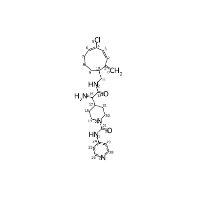 C=C1/C=C\C(Cl)=C/CCCC1CNC(=O)C(N)C1CCN(C(=O)Nc2ccncc2)CC1